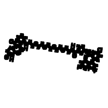 O=C1CCC(N2C(=O)c3cccc(NCCOCCOCCOCCOCCNC(=O)N4CC[C@H](NC5=Nc6cc(F)ccc6N(CC(F)F)c6ccc(Cl)cc65)C4)c3C2=O)C(=O)N1